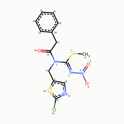 CSC(=N[N+](=O)[O-])N(Cc1cnc(Cl)s1)C(=O)Cc1ccccc1